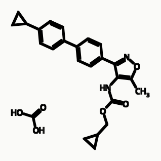 Cc1onc(-c2ccc(-c3ccc(C4CC4)cc3)cc2)c1NC(=O)OCC1CC1.O=C(O)O